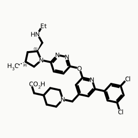 CCNC[C@@H]1C[C@@H](C)CN1c1ccc(Oc2cc(CN3CCC(CC(=O)O)CC3)cc(-c3cc(Cl)cc(Cl)c3)n2)nn1